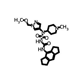 COCn1cc(N(C2CCN(C)CC2)S(=O)(=O)NC(=O)Nc2c3c(cc4c2CCC4)CCC3)cn1